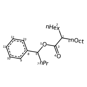 CCCCCCCCC(CCCCCC)C(=O)OC(CCC)c1ccccc1